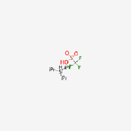 CC(C)[SiH](C(C)C)C(C)C.O=S(=O)(O)C(F)(F)F